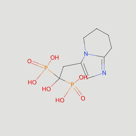 O=P(O)(O)C(O)(Cc1cnc2n1CCCC2)P(=O)(O)O